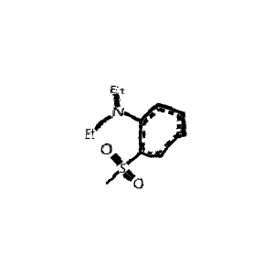 CCN(CC)c1ccccc1S(C)(=O)=O